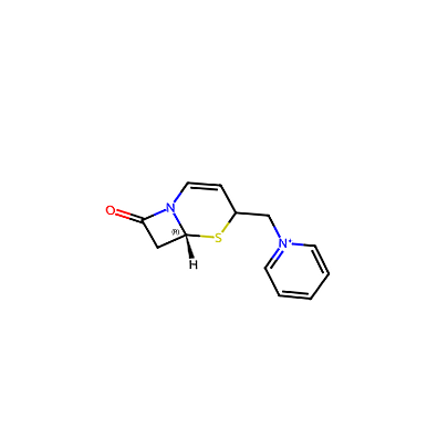 O=C1C[C@H]2SC(C[n+]3ccccc3)C=CN12